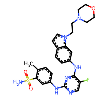 Cc1ccc(Nc2ncc(F)c(Nc3ccc4ccn(CCN5CCOCC5)c4c3)n2)cc1S(N)(=O)=O